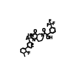 CC1C=CC=C(c2cccc(C3(c4nc5c(c(=O)[nH]4)CN(C(=O)[C@H](O)c4cccc(C(F)(F)F)c4)CCC5)CC3)c2)C1F